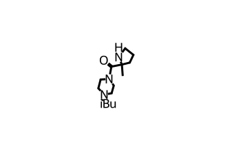 CCC(C)N1CCN(C(=O)C2(C)CCCN2)CC1